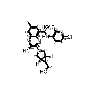 Cc1cc([C@@H](C)Nc2ccc(Cl)nc2C(=O)O)c2nc(N3C[C@@H]4C(CO)[C@@H]4C3)c(C#N)nc2c1